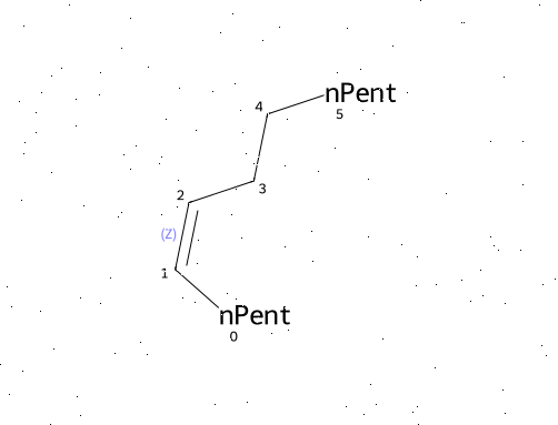 CCCCC/C=C\CCCCCCC